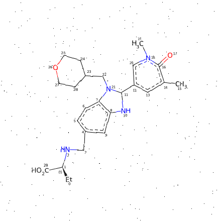 CC[C@H](NCc1ccc2c(c1)NC(c1cc(C)c(=O)n(C)c1)N2CC1CCOCC1)C(=O)O